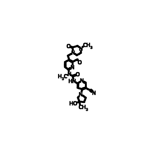 CN1CCN(Cc2ccc(N(C)C(=O)Nc3cc(N4CCC(C)(O)C4)c(C#N)cn3)nc2C=O)C(=O)C1